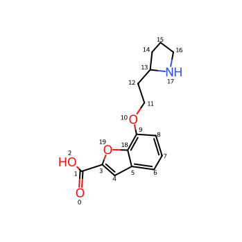 O=C(O)c1cc2cccc(OCCC3CCCN3)c2o1